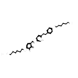 CCCCCCCOc1ccc(CCc2ccc(OC(=O)c3ccc(OCCCCCCC)c(F)c3F)cn2)cc1